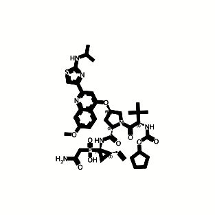 C=C[C@@H]1C[C@]1(NC(=O)[C@@H]1C[C@@H](Oc2cc(-c3csc(NC(C)C)n3)nc3cc(OC)ccc23)CN1C(=O)[C@@H](NC(=O)OC1CCCC1)C(C)(C)C)P(=O)(O)CC(N)=O